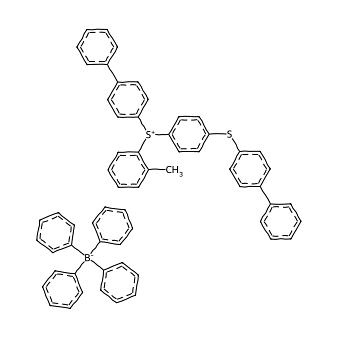 Cc1ccccc1[S+](c1ccc(Sc2ccc(-c3ccccc3)cc2)cc1)c1ccc(-c2ccccc2)cc1.c1ccc([B-](c2ccccc2)(c2ccccc2)c2ccccc2)cc1